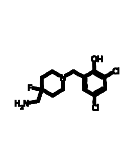 NCC1(F)CCN(Cc2cc(Cl)cc(Cl)c2O)CC1